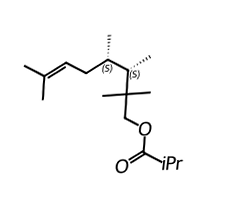 CC(C)=CC[C@H](C)[C@H](C)C(C)(C)COC(=O)C(C)C